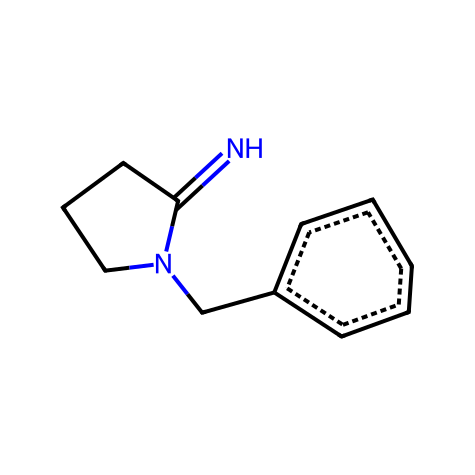 N=C1CCCN1Cc1ccccc1